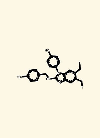 CC(C)(C)c1ccc(CNc2nc3cc(CI)c(CI)cc3n2-c2ccc(O)cc2)cc1